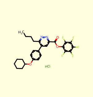 CCCCc1nnc(C(=O)Oc2c(F)c(F)c(F)c(F)c2F)cc1-c1ccc(OC2CCCCC2)cc1.Cl